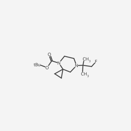 CC(C)(C)OC(=O)N1CCN(C(C)(C)CF)CC12CC2